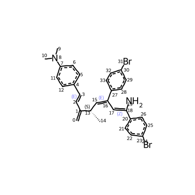 C=C(/C=C/c1ccc(N(C)C)cc1)[C@@H](C)/C=C(\C=C(/N)c1ccc(Br)cc1)c1ccc(Br)cc1